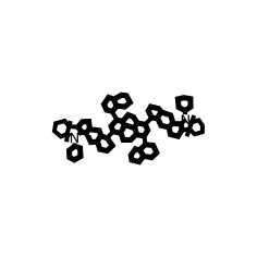 CC12CCCCC1(C)N(c1ccccc1)c1c2ccc2cc3c(-c4cc(-c5cccc6ccccc56)c5ccc6c(-c7cccc8cc9c%10c(ccc9cc78)C7(C)CCCCC7(C)N%10c7ccccc7)cc(-c7cccc8ccccc78)c7ccc4c5c76)cccc3cc12